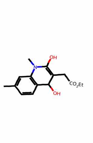 CCOC(=O)CC1=C(O)N(C)c2cc(C)ccc2C1O